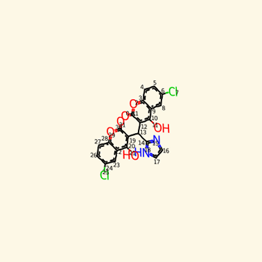 O=c1oc2ccc(Cl)cc2c(O)c1C(c1ncc[nH]1)c1c(O)c2cc(Cl)ccc2oc1=O